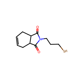 O=C1C2CC=CCC2C(=O)N1CCCS